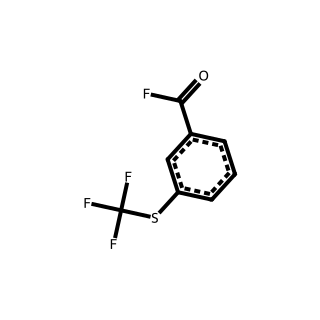 O=C(F)c1cccc(SC(F)(F)F)c1